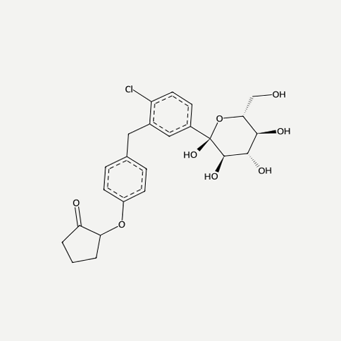 O=C1CCCC1Oc1ccc(Cc2cc([C@]3(O)O[C@H](CO)[C@@H](O)[C@H](O)[C@H]3O)ccc2Cl)cc1